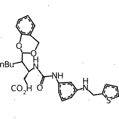 CCCCC(C1OCc2ccccc2O1)[C@H](CC(=O)O)NC(=O)Nc1cccc(NCc2cccs2)c1